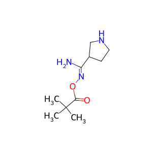 CC(C)(C)C(=O)ON=C(N)C1CCNC1